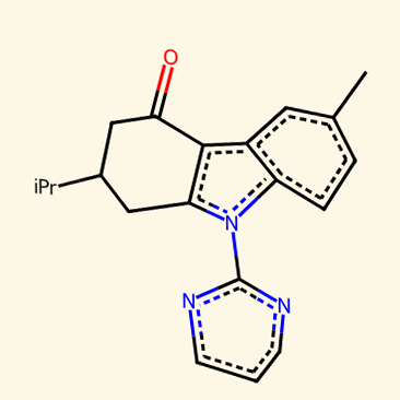 Cc1ccc2c(c1)c1c(n2-c2ncccn2)CC(C(C)C)CC1=O